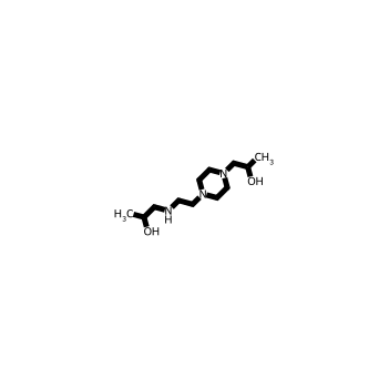 CC(O)CNCCN1CCN(CC(C)O)CC1